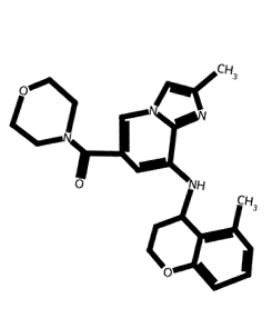 Cc1cn2cc(C(=O)N3CCOCC3)cc(NC3CCOc4cccc(C)c43)c2n1